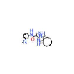 CC1NC2C(C(=O)Nc3cccc(N(C)C)c3)CNN2C(C)C12CCC/C=C\CCCC2